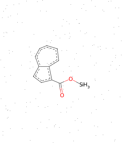 O=C(O[SiH3])c1ccc2cccccc1-2